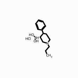 CCCN1CCC(c2ccccc2)CC1.Cl.OBO